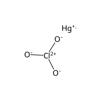 [Hg+].[O-][Cl+2]([O-])[O-]